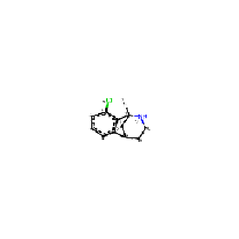 Clc1cccc2c1[C@H]1CC2CCN1